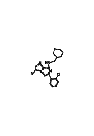 Clc1ccccc1-c1cn2c(Br)cnc2c(NCC2CCCCC2)n1